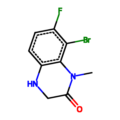 CN1C(=O)CNc2ccc(F)c(Br)c21